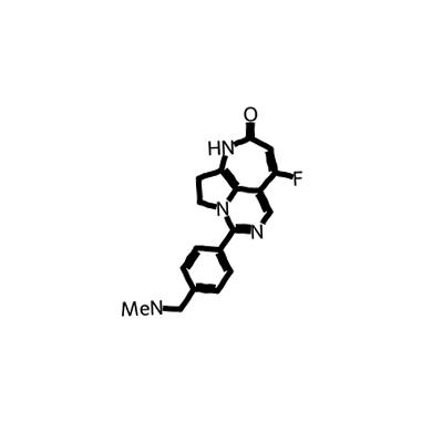 CNCc1ccc(C2=NC=C3C(F)=CC(=O)NC4=C3N2CC4)cc1